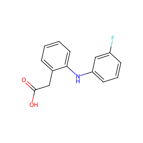 O=C(O)Cc1ccccc1Nc1cccc(F)c1